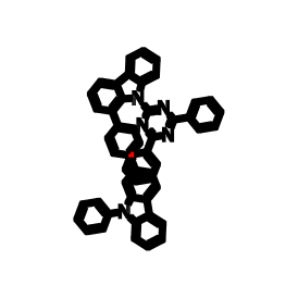 c1ccc(-c2nc(-c3ccccc3)nc(-n3c4ccccc4c4cccc(-c5ccc(-c6ccc7c8ccccc8n(-c8ccccc8)c7c6)cc5)c43)n2)cc1